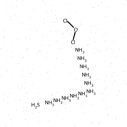 ClOCl.N.N.N.N.N.N.N.N.N.N.N.S